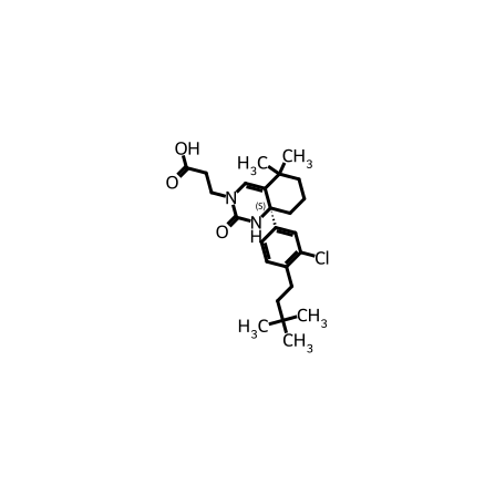 CC(C)(C)CCc1ccc([C@@]23CCCC(C)(C)C2=CN(CCC(=O)O)C(=O)N3)cc1Cl